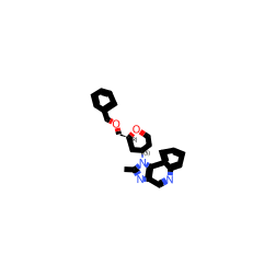 Cc1nc2cnc3ccccc3c2n1[C@H]1CCO[C@@H](COCc2ccccc2)C1